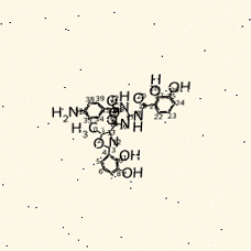 CC1OC(c2cccc(O)c2O)=N[C@@H]1C(=O)/N=C(/NC(=O)c1cccc(O)c1O)NS(=O)(=O)c1ccc(N)cc1